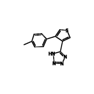 Cc1ccc(-c2cscc2-c2nnn[nH]2)cc1